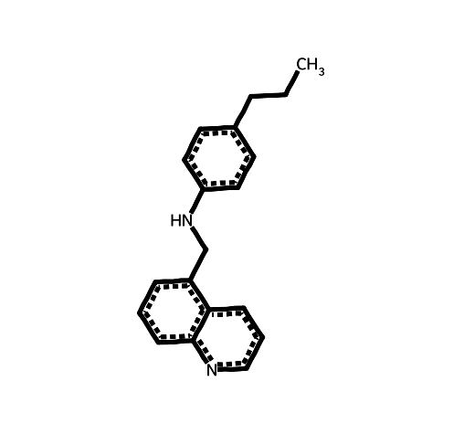 CCCc1ccc(NCc2cccc3ncccc23)cc1